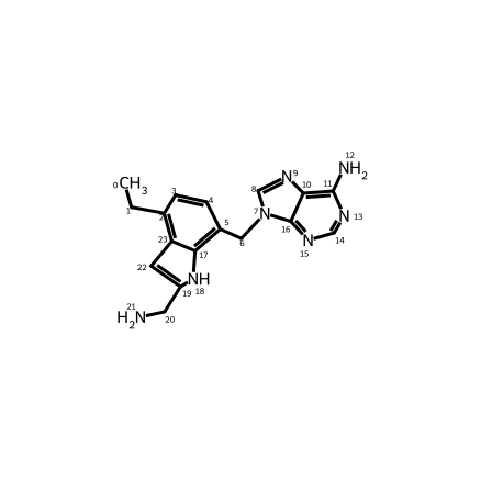 CCc1ccc(Cn2cnc3c(N)ncnc32)c2[nH]c(CN)cc12